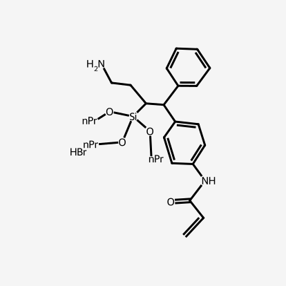 Br.C=CC(=O)Nc1ccc(C(c2ccccc2)C(CCN)[Si](OCCC)(OCCC)OCCC)cc1